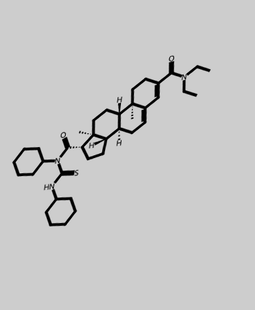 CCN(CC)C(=O)C1=CC2=CC[C@H]3[C@@H]4CC[C@H](C(=O)N(C(=S)NC5CCCCC5)C5CCCCC5)[C@@]4(C)CC[C@@H]3[C@@]2(C)CC1